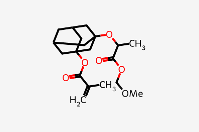 C=C(C)C(=O)OC12CC3CC(C1)CC(OC(C)C(=O)OCOC)(C3)C2